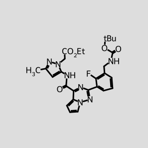 CCOC(=O)Cn1nc(C)cc1NC(=O)c1nc(-c2cccc(CNC(=O)OC(C)(C)C)c2F)nn2cccc12